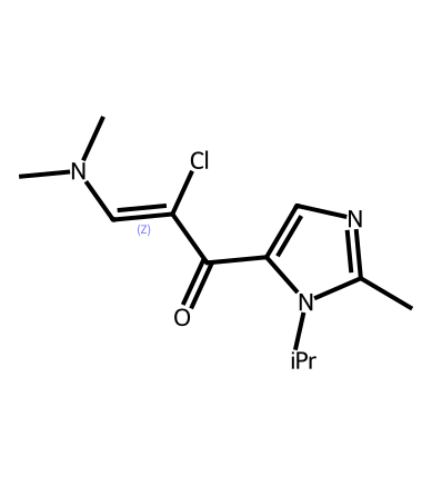 Cc1ncc(C(=O)/C(Cl)=C/N(C)C)n1C(C)C